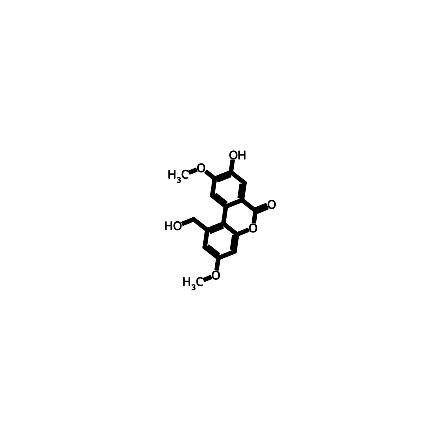 COc1cc(CO)c2c(c1)oc(=O)c1cc(O)c(OC)cc12